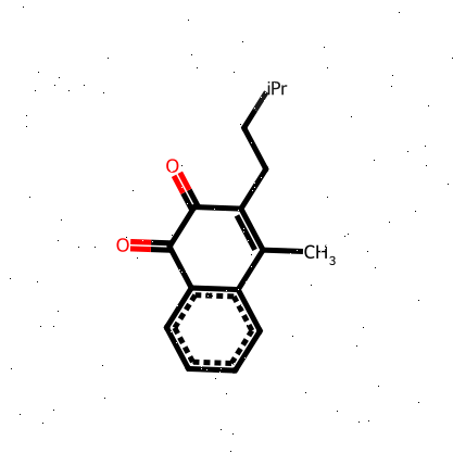 CC1=C(CCC(C)C)C(=O)C(=O)c2ccccc21